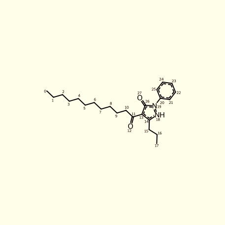 CCCCCCCCCCCC(=O)c1c(CCC)[nH]n(-c2ccccc2)c1=O